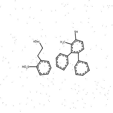 CCCCCCCCCCCCc1ccccc1S(=O)(=O)O.Cc1c(S)ccc(-c2ccccc2)c1-c1ccccc1